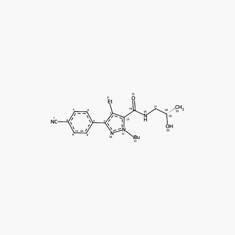 CCc1c(-c2ccc(C#N)cc2)nn(C(C)CC)c1C(=O)NC[C@H](C)O